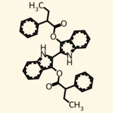 CCC(C(=O)Oc1c(-c2[nH]c3ccccc3c2OC(=O)C(CC)c2ccccc2)[nH]c2ccccc12)c1ccccc1